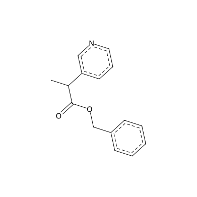 CC(C(=O)OCc1ccccc1)c1cccnc1